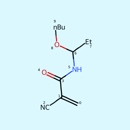 C=C(C#N)C(=O)NC(CC)OCCCC